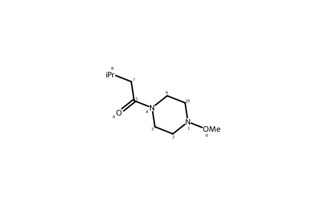 CON1CCN(C(=O)CC(C)C)CC1